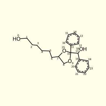 OCCCCCCC1COC(c2ccccc2)(C(O)c2ccccc2)O1